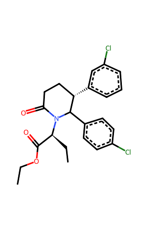 CCOC(=O)[C@H](CC)N1C(=O)CC[C@H](c2cccc(Cl)c2)C1c1ccc(Cl)cc1